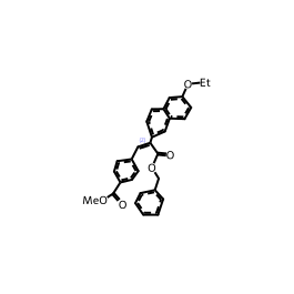 CCOc1ccc2cc(/C(=C/c3ccc(C(=O)OC)cc3)C(=O)OCc3ccccc3)ccc2c1